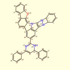 C1=CC2C(C=C1)n1c3c(c4cc(C5=NC(c6ccccc6)=CC(c6ccccc6)N5)cc5c6ccc7c8ccccc8oc7c6n3c54)n12